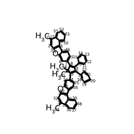 Cc1cc2oc3cc(C4=C(c5ccccc5)C(c5ccccc5)=C(c5ccc6c(c5)oc5cc(C)c7ccccc7c56)C4(C)C)ccc3c2c2ccccc12